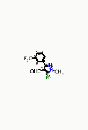 Cn1nc(-c2cccc(C(F)(F)F)c2)c(C=O)c1Br